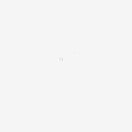 CC1C=c2ccsc2=N1